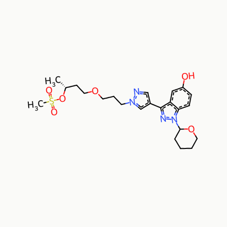 C[C@H](CCOCCCn1cc(-c2nn(C3CCCCO3)c3ccc(O)cc23)cn1)OS(C)(=O)=O